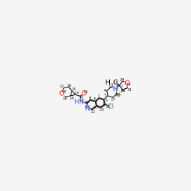 C[C@@]1(N2CCC(c3cc4cc(NC(=O)C5C6CCOCC65)ncc4cc3Cl)CC2)COC[C@@H]1F